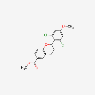 COC(=O)c1ccc2c(c1)CCC(c1c(Cl)cc(OC)cc1Cl)O2